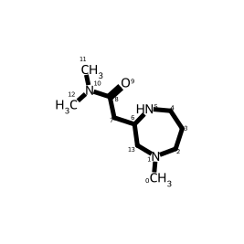 CN1CCCNC(CC(=O)N(C)C)C1